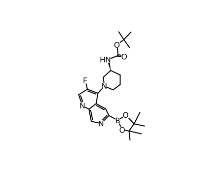 CC(C)(C)OC(=O)N[C@H]1CCCN(c2c(F)cnc3cnc(B4OC(C)(C)C(C)(C)O4)cc23)C1